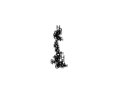 CCOc1cc(N2CCC(N3CCN(CCCc4cc(F)cc5c4oc(=O)n5C4CCC(=O)NC4=O)CC3)CC2)c(CC)cc1Nc1ncc(Br)c(Nc2cc(F)c3nc(CC)ccc3c2P(C)(C)=O)n1